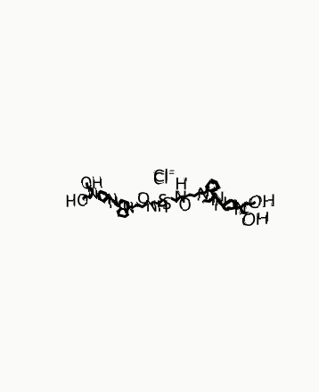 O=C(CCC[n+]1ccc(N=Nc2ccc(N(CCO)CCO)cc2)c2ccccc21)NCCSSCCNC(=O)CCC[n+]1ccc(N=Nc2ccc(N(CCO)CCO)cc2)c2ccccc21.[Cl-].[Cl-]